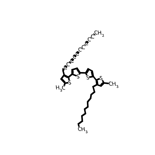 C=C=C=C=C=C=C=C=C=C=C=Cc1cc(C)sc1-c1ccc(-c2ccc(-c3sc(C)cc3CCCCCCCCCCCC)s2)s1